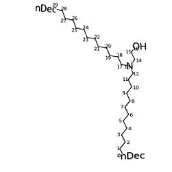 CCCCCCCCCCCCCCCCCCCCCCN(CCO)CCCCCCCCCCCCCCCCCCCCCC